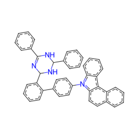 c1ccc(C2=NC(c3ccccc3-c3ccc(-n4c5ccccc5c5c6ccccc6ccc54)cc3)NC(c3ccccc3)N2)cc1